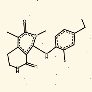 CCc1ccc(Nc2c3c(c(C)c(=O)n2C)CCNC3=O)c(F)c1